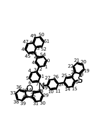 c1cc(-c2cccc(N(c3ccc(-c4ccc5sc6ccccc6c5c4)cc3)c3cccc4c3oc3ccccc34)c2)cc(-c2cccc3ccccc23)c1